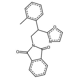 Cc1ccccc1C(CN1C(=O)c2ccccc2C1=O)c1ncco1